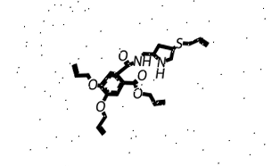 C=CCOC(=O)c1cc(OCC=C)c(OCC=C)cc1C(=O)NCC1CC(SCC=C)CN1